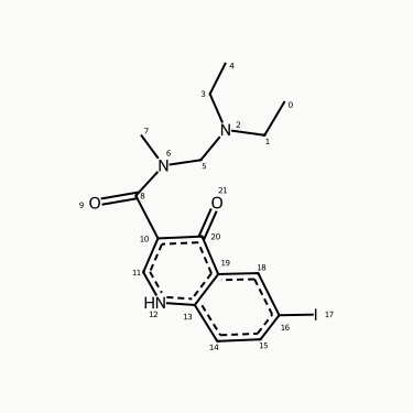 CCN(CC)CN(C)C(=O)c1c[nH]c2ccc(I)cc2c1=O